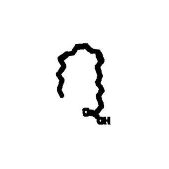 CCCCC/C=C\C/C=C\C/C=C\CCCCCCC(=O)O